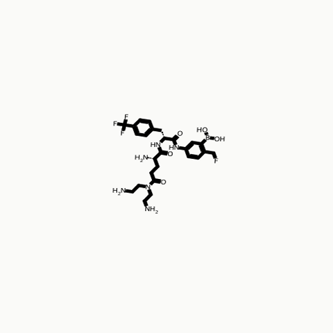 NCCN(CCN)C(=O)CC[C@H](N)C(=O)N[C@H](Cc1ccc(C(F)(F)F)cc1)C(=O)Nc1ccc(CF)c(B(O)O)c1